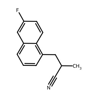 CC(C#N)Cc1cccc2cc(F)ccc12